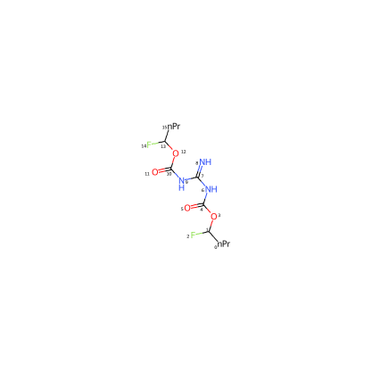 CCCC(F)OC(=O)NC(=N)NC(=O)OC(F)CCC